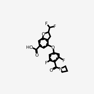 O=C(O)c1cc(Oc2cc(F)c(C(=O)N3CCC3)c(F)c2)c2c(c1)OC(C(F)F)C2